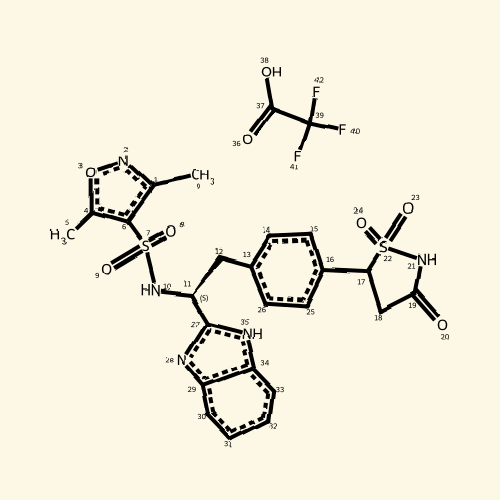 Cc1noc(C)c1S(=O)(=O)N[C@@H](Cc1ccc(C2CC(=O)NS2(=O)=O)cc1)c1nc2ccccc2[nH]1.O=C(O)C(F)(F)F